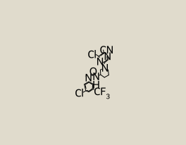 CN(C(=O)N[C@@H]1CCCN(c2cnc(C#N)c(Cl)n2)C1)c1cc(Cl)cc(C(F)(F)F)c1